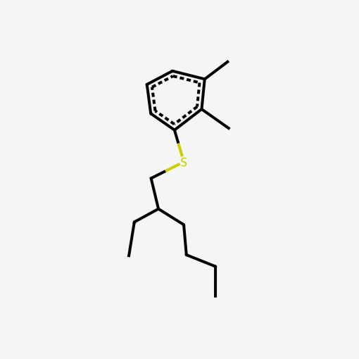 CCCCC(CC)CSc1cccc(C)c1C